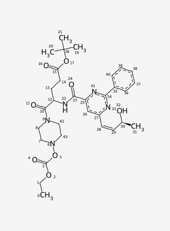 CCOC(=O)ON1CCN(C(=O)C(CCC(=O)OC(C)(C)C)NC(=O)c2cc(/C=C\[C@H](C)O)nc(-c3ccccc3)n2)CC1